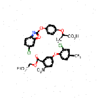 CC(Oc1ccc(Oc2nc3ccc(Cl)cc3o2)cc1)C(=O)O.CCOC(=O)COC(=O)c1cc(Oc2ccc(C(F)(F)F)cc2Cl)ccc1[N+](=O)[O-]